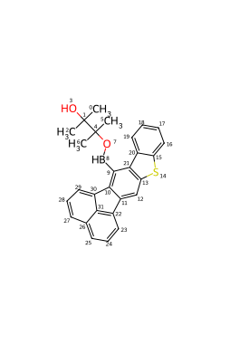 CC(C)(O)C(C)(C)OBc1c2c(cc3sc4ccccc4c13)-c1cccc3cccc-2c13